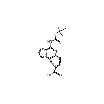 CC(C)(C)OC(=O)Nc1nc2cnc(C(=O)O)cc2n2cncc12